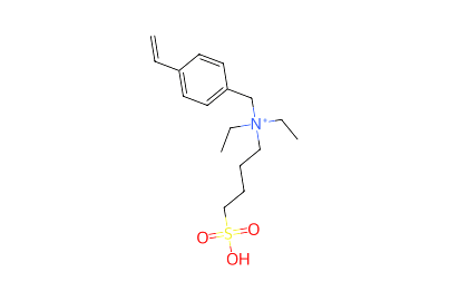 C=Cc1ccc(C[N+](CC)(CC)CCCCS(=O)(=O)O)cc1